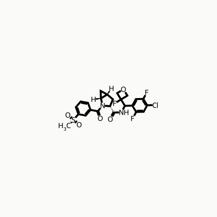 CS(=O)(=O)c1cccc(C(=O)N2[C@@H](C(=O)NC(c3cc(F)c(Cl)cc3F)C3(F)COC3)C[C@H]3C[C@H]32)c1